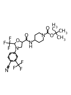 CC(C)(C)OC(=O)N1CCC(NC(=O)C2CN(c3ccc(C#N)c(C(F)(F)F)c3)C(C(F)(F)F)O2)CC1